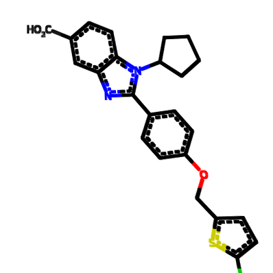 O=C(O)c1ccc2c(c1)nc(-c1ccc(OCc3ccc(Cl)s3)cc1)n2C1CCCC1